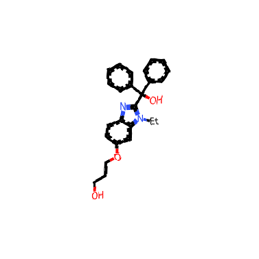 CCn1c(C(O)(c2ccccc2)c2ccccc2)nc2ccc(OCCCO)cc21